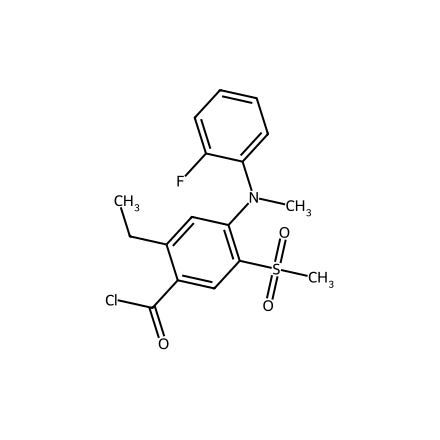 CCc1cc(N(C)c2ccccc2F)c(S(C)(=O)=O)cc1C(=O)Cl